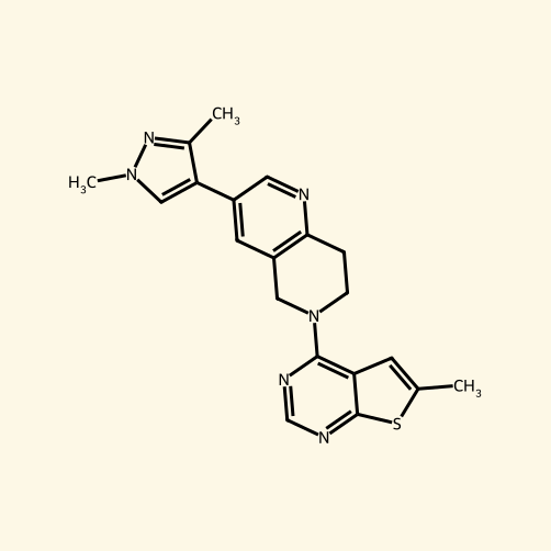 Cc1cc2c(N3CCc4ncc(-c5cn(C)nc5C)cc4C3)ncnc2s1